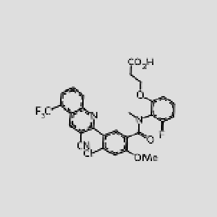 COc1cc(Cl)c(-c2nc3cccc(C(F)(F)F)c3cc2C#N)cc1C(=O)N(C)c1c(F)cccc1OCCC(=O)O